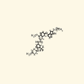 CC[C@@H]1CN(C(=O)Nc2cnc(OC3CCN(C)CC3)c(C(F)(F)F)c2)Cc2cc(Oc3ccnc4[nH]c(CCOC)cc34)cnc21